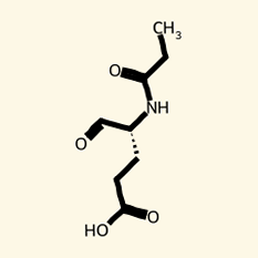 CCC(=O)N[C@@H](C=O)CCC(=O)O